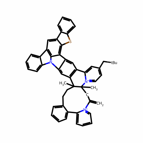 C=C1CC2(C)[n+]3ccc(CC(C)(C)C)cc3-c3cc4c5c6sc7ccccc7c6cc6c7ccccc7n(c4cc3C2(C)CCc2ccccc2-c2cccc[n+]21)c65